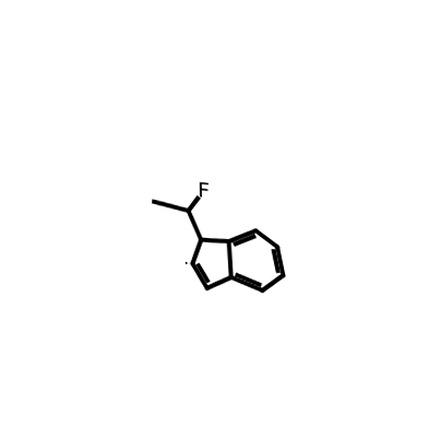 CC(F)C1[C]=Cc2ccccc21